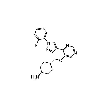 N[C@H]1CC[C@H](COc2cncnc2-c2cnn(-c3ccccc3F)c2)CC1